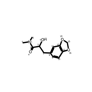 CN(C)C(=O)C(O)Cc1ccc2c(c1)OCO2